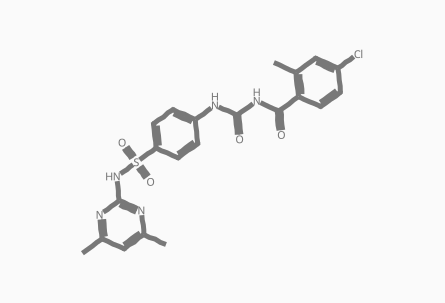 Cc1cc(C)nc(NS(=O)(=O)c2ccc(NC(=O)NC(=O)c3ccc(Cl)cc3C)cc2)n1